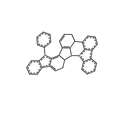 C1=CC2=C3B(C4CC=c5c(n(-c6ccccc6)c6ccccc56)=C24)n2c4ccccc4c4cccc(c42)C3C1